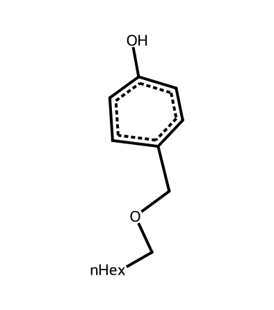 CCCCCCCOCc1ccc(O)cc1